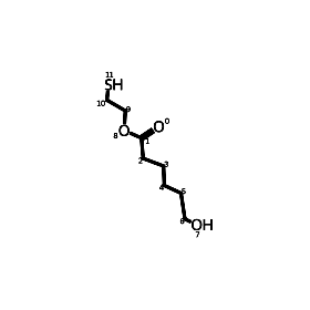 O=C(CCCCCO)OCCS